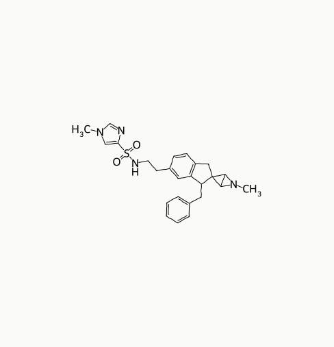 CN1C2C1C21Cc2ccc(CCNS(=O)(=O)c3cn(C)cn3)cc2C1Cc1ccccc1